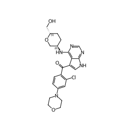 O=C(c1ccc(N2CCOCC2)cc1Cl)c1c[nH]c2ncnc(N[C@@H]3CC[C@@H](CO)OC3)c12